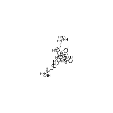 Cc1cc(C)c(S(=O)(=O)NC(NS(=O)(=O)c2ccccc2)(C(=O)O)C(NC(=O)CC2CC(CCCNC3NCCN3)ON2)NC(=O)CC2CC(CCCNC3NCCN3)ON2)c(C)c1